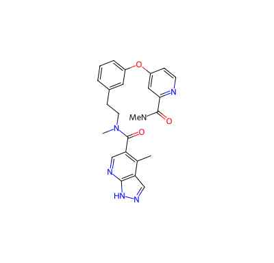 CNC(=O)c1cc(Oc2cccc(CCN(C)C(=O)c3cnc4[nH]ncc4c3C)c2)ccn1